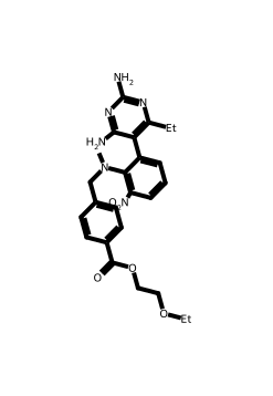 CCOCCOC(=O)c1ccc(CN(C)c2c(-c3c(N)nc(N)nc3CC)cccc2[N+](=O)[O-])cc1